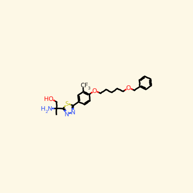 CC(N)(CO)c1nnc(-c2ccc(OCCCCCOCc3ccccc3)c(C(F)(F)F)c2)s1